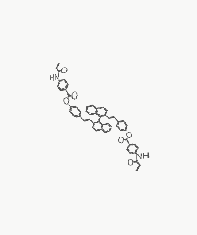 C=CC(=O)Nc1ccc(C(=O)Oc2ccc(/C=C/c3ccc4ccccc4c3-c3c(/C=C/c4ccc(OC(=O)c5ccc(NC(=O)C=C)cc5)cc4)ccc4ccccc34)cc2)cc1